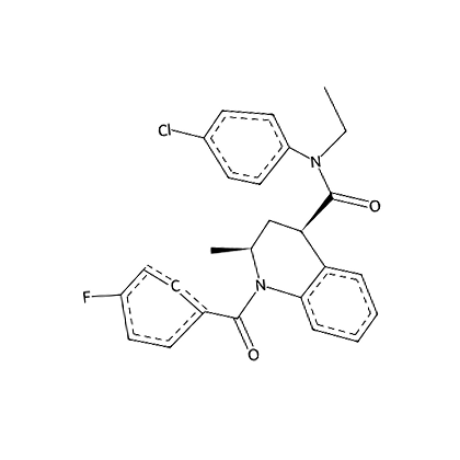 CCN(C(=O)[C@@H]1C[C@H](C)N(C(=O)c2ccc(F)cc2)c2ccccc21)c1ccc(Cl)cc1